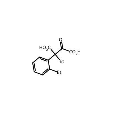 CCc1ccccc1C(CC)(C(=O)O)C(=O)C(=O)O